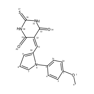 COc1ccc(-n2cccc2C=C2C(=O)NC(=S)NC2=O)cc1